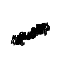 CC(C)(C)OC(=O)CCC(NC(=O)NC(CCCCNC(=O)C(Cc1ccc2ccccc2c1)NC(=O)C1CCC(CNC(=O)C(CCCCN)NC(=O)CC(NC(=O)CC(NC(=O)CCCc2ccc(I)cc2)C(=O)OC(C)(C)C)C(=O)OC(C)(C)C)CC1)C(=O)OC1CCCCCCC1)C(=O)OC(C)(C)C